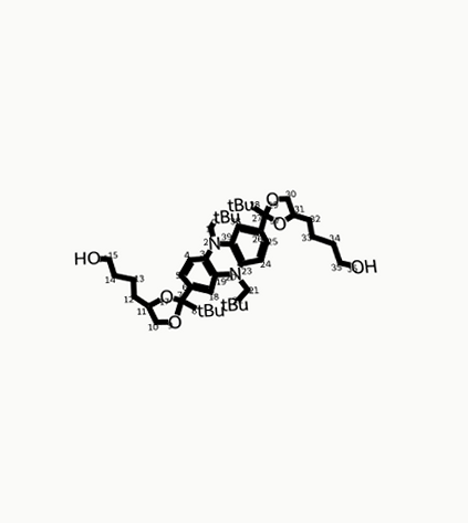 CC(C)(C)CN1c2ccc(C3(C(C)(C)C)OCC(CCCCO)O3)cc2N(CC(C)(C)C)c2ccc(C3(C(C)(C)C)OCC(CCCCO)O3)cc21